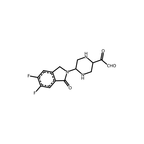 O=CC(=O)C1CNC(N2Cc3cc(F)c(F)cc3C2=O)CN1